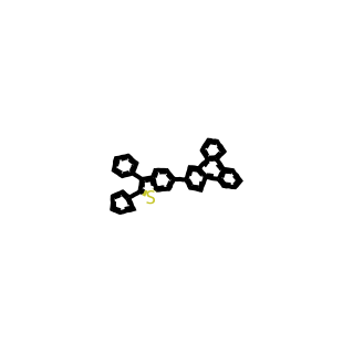 c1ccc(-c2sc3cc(-c4ccc5c6ccccc6c6ccccc6c5c4)ccc3c2-c2ccccc2)cc1